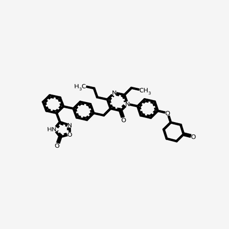 CCCc1nc(CC)n(-c2ccc(OC3CCCC(=O)C3)cc2)c(=O)c1Cc1ccc(-c2ccccc2-c2noc(=O)[nH]2)cc1